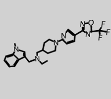 CCN(Cc1cn(C)c2ccccc12)CC1CCN(c2ccc(-c3noc(C(F)(F)F)n3)cn2)CC1